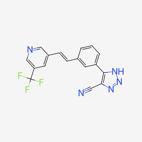 N#Cc1nn[nH]c1-c1cccc(C=Cc2cncc(C(F)(F)F)c2)c1